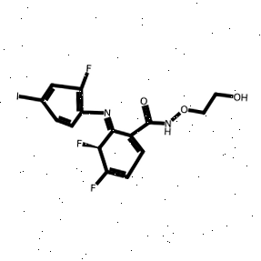 O=C(NOCCO)C1=CC=C(F)[C@@H](F)/C1=N\c1ccc(I)cc1F